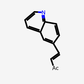 CC(=O)C=Cc1ccc2ncccc2c1